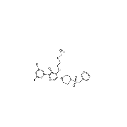 CCOCCOc1c(N2CCN(S(=O)(=O)Cc3ccccc3)CC2)cnn(-c2cc(F)cc(F)c2)c1=O